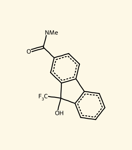 CNC(=O)c1ccc2c(c1)C(O)(C(F)(F)F)c1ccccc1-2